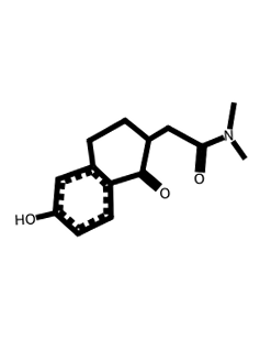 CN(C)C(=O)CC1CCc2cc(O)ccc2C1=O